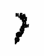 Cc1nc2cc(OC[C@@H](O)CN3CCN(Cc4cc(-c5ccc(F)cc5)no4)CC3)ccc2s1